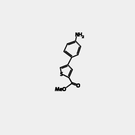 COC(=O)c1cc(-c2ccc(N)cc2)cs1